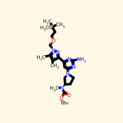 Cc1c(-c2cc(N3CC[C@@H](N(C)C(=O)OC(C)(C)C)C3)nc(N)n2)nn(COCC[Si](C)(C)C)c1C